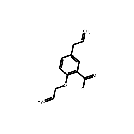 C=CCOc1ccc(CC=C)cc1C(=O)O